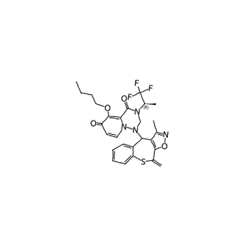 C=C1Sc2ccccc2C(N2CN([C@H](C)C(F)(F)F)C(=O)c3c(OCCCC)c(=O)ccn32)c2c(C)noc21